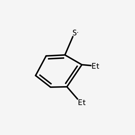 CCc1cccc([S])c1CC